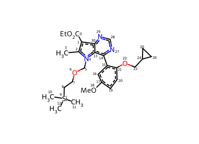 CCOC(=O)c1c(C)n(COCC[Si](C)(C)C)c2c(-c3cc(OC)ccc3OCC3CC3)ncnc12